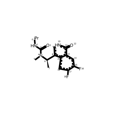 CC(C)NC(=O)N(C)[C@H](C)c1c[nH]c(=O)c2cc(F)c(F)cc12